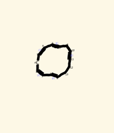 [C]1=C/C=C\C/C=C\C=C\C/C=C/CC/1